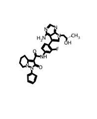 C[C@H](O)Cn1cc(-c2ccc(NC(=O)c3c4n(n(-c5ccccc5)c3=O)CCCC4)cc2F)c2c(N)ncnc21